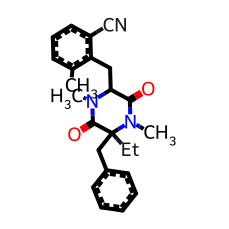 CCC1(Cc2ccccc2)C(=O)N(C)C(Cc2c(C)cccc2C#N)C(=O)N1C